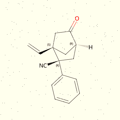 C=C[C@@]12CC(=O)[C@H](C1)C[C@]2(C#N)c1ccccc1